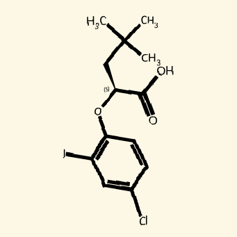 CC(C)(C)C[C@H](Oc1ccc(Cl)cc1I)C(=O)O